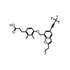 CCCc1cc2cc(C#CC(F)(F)F)cc(COc3ccc(CCC(=O)O)c(C)c3C)c2o1